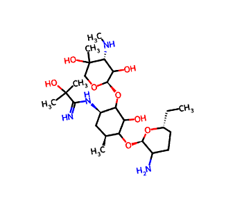 CC[C@@H]1CCC(N)[C@@H](OC2C(O)C(O[C@H]3OCC(C)(O)[C@H](NC)C3O)[C@H](NC(=N)C(C)(C)O)C[C@@H]2C)O1